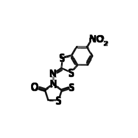 O=C1CSC(=S)N1/N=c1\sc2ccc([N+](=O)[O-])cc2s1